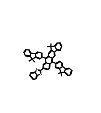 CC1(C)c2ccccc2-c2ccc(-c3c4ccc(-c5nc6ccccc6s5)cc4c(-c4ccc5c(c4)C(C)(C)c4ccccc4-5)c4cc5c(cc34)-c3ccccc3C5(C)C)cc21